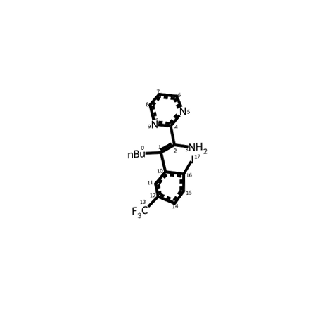 CCCC/C(=C(/N)c1ncccn1)c1cc(C(F)(F)F)ccc1I